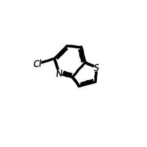 Clc1ccc2sccc2n1